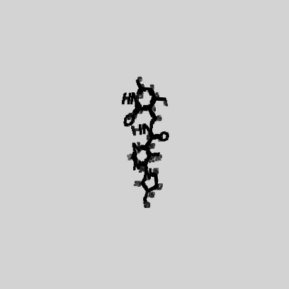 Cc1cc(C)c(CNC(=O)c2ncnc(N3CC[C@@H](C)C3)c2C)c(=O)[nH]1